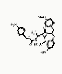 COc1ccc(CC(Cc2ccc(OC)cc2)N2C(=O)C(C(C)OC(=O)OCc3ccc([N+](=O)[O-])cc3)C2CC(=O)O)cc1